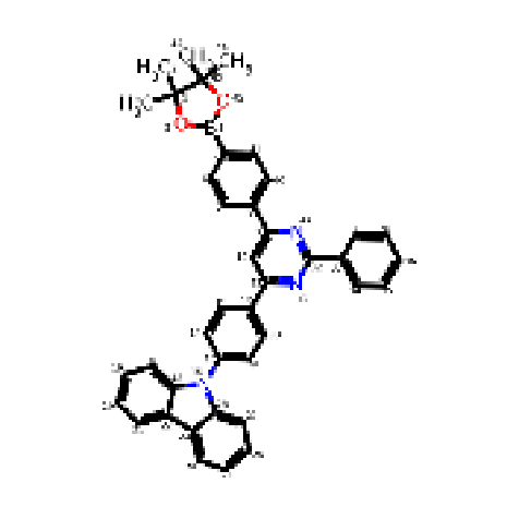 CC1(C)OB(c2ccc(-c3cc(-c4ccc(-n5c6ccccc6c6ccccc65)cc4)nc(-c4ccccc4)n3)cc2)OC1(C)C